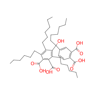 CCCCCCc1c(CCCCCC)c(C(O)(CCCCCC)c2ccc(C(=O)O)c(C(=O)O)c2)c(CCCCCC)c(C(=O)O)c1C(=O)O